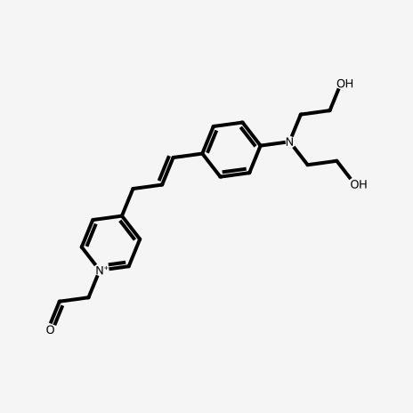 O=CC[n+]1ccc(CC=Cc2ccc(N(CCO)CCO)cc2)cc1